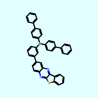 c1ccc(-c2ccc(B(c3ccc(-c4ccccc4)cc3)c3cccc(-c4ccc5nc6sc7ccccc7c6nc5c4)c3)cc2)cc1